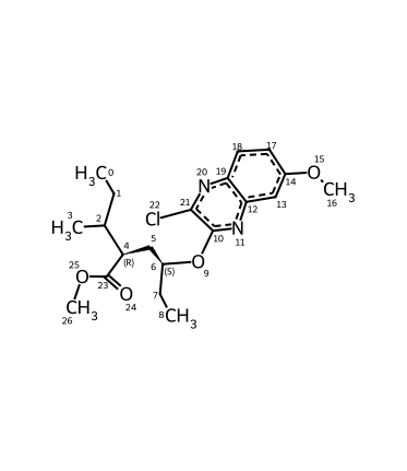 CCC(C)[C@@H](C[C@H](CC)Oc1nc2cc(OC)ccc2nc1Cl)C(=O)OC